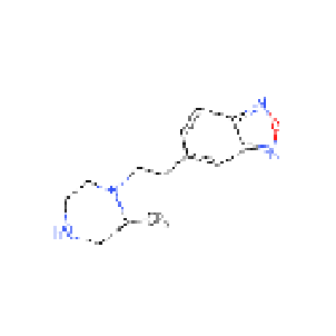 FC(F)(F)C1CNCCN1CCc1ccc2nonc2c1